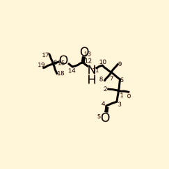 CC(C)(CC=O)CC(C)(C)CNC(=O)COC(C)(C)C